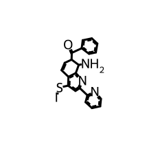 NC1c2nc(-c3ccccn3)cc(SI)c2C=CC1C(=O)c1ccccc1